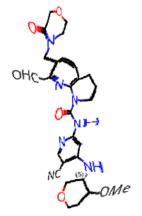 COC1CCOC[C@@H]1Nc1cc(NC(=O)N2CCCc3cc(CN4CCOCC4=O)c(C=O)nc32)ncc1C#N